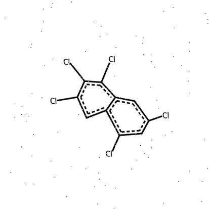 Clc1cc(Cl)c2cc(Cl)c(Cl)c(Cl)c2c1